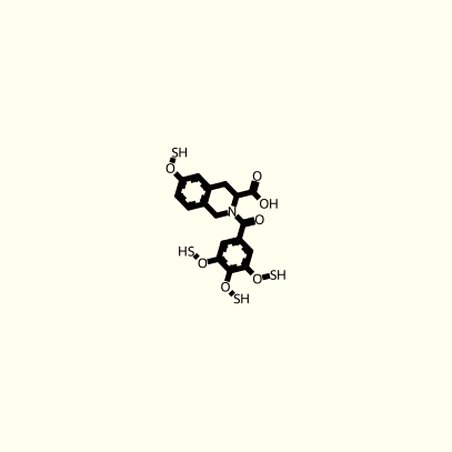 O=C(O)C1Cc2cc(OS)ccc2CN1C(=O)c1cc(OS)c(OS)c(OS)c1